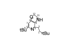 CC(C)(C)CCc1nc(C(C)(C)C)cc2c1NCCO2